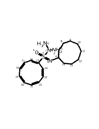 NN(N)S(=O)(=NC1CCCCCCCC1)c1ccccccccc1